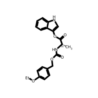 CCOc1ccc(COC(=O)N[C@@H](C)C(=O)Oc2c[nH]c3ccccc23)cc1